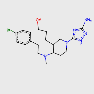 CN(CCc1ccc(Br)cc1)C1CCN(c2nc(N)n[nH]2)CC1CCCO